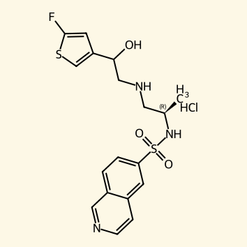 C[C@H](CNCC(O)c1csc(F)c1)NS(=O)(=O)c1ccc2cnccc2c1.Cl